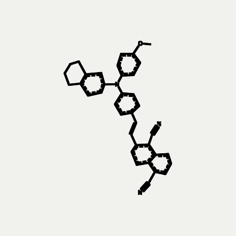 COc1ccc(N(c2ccc(C=Cc3ccc4c(C#N)cccc4c3C#N)cc2)c2ccc3c(c2)CCCC3)cc1